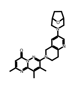 Cc1cc(=O)n2nc(N3CCc4ncc(N5CC6CCC(C5)O6)cc4C3)c(C)c(C)c2n1